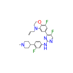 C=CCN1CCOc2c(F)cc(-c3nc(Nc4ccc(C5CCN(C)CC5)c(F)c4)ncc3F)cc21